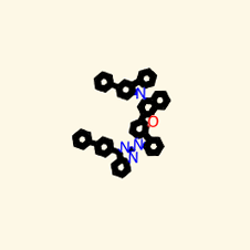 c1ccc(-c2ccc(-c3nc(-n4c5ccccc5c5c6oc7c8ccccc8c(-n8c9ccccc9c9cc(-c%10ccccc%10)ccc98)cc7c6ccc54)nc4ccccc34)cc2)cc1